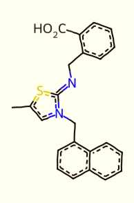 Cc1cn(Cc2cccc3ccccc23)/c(=N/Cc2ccccc2C(=O)O)s1